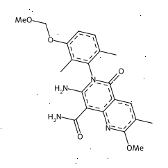 COCOc1ccc(C)c(-n2c(N)c(C(N)=O)c3nc(OC)c(C)cc3c2=O)c1C